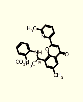 Cc1cc([C@@H](C)Nc2ccccc2C(=O)O)c2oc(-c3cccc(C)n3)cc(=O)c2c1